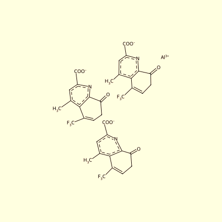 Cc1cc(C(=O)[O-])nc2c1C(C(F)(F)F)=CCC2=O.Cc1cc(C(=O)[O-])nc2c1C(C(F)(F)F)=CCC2=O.Cc1cc(C(=O)[O-])nc2c1C(C(F)(F)F)=CCC2=O.[Al+3]